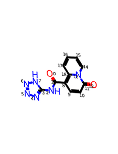 O=C(Nc1nnn[nH]1)c1ccc(=O)n2ccccc12